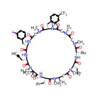 C#CC[C@@H]1NC(=O)[C@H](Cc2cccc(I)c2)NC(=O)CN(C)C(=O)[C@H](Cc2ccc(C(F)(F)F)cc2)N(C)C(=O)CN(C)C(=O)CN(C)C(=O)[C@H]([C@@H](C)CC)NC(=O)[C@H](CC(C)C)N(C)C(=O)C[C@@H](C)N(C)C(=O)[C@H](CC(C)C)NC(=O)C(C)(C)N(C)C1=O